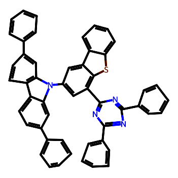 c1ccc(-c2ccc3c4ccc(-c5ccccc5)cc4n(-c4cc(-c5nc(-c6ccccc6)nc(-c6ccccc6)n5)c5sc6ccccc6c5c4)c3c2)cc1